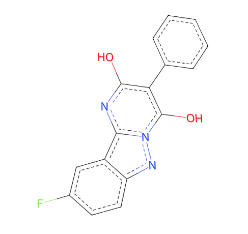 Oc1nc2c3cc(F)ccc3nn2c(O)c1-c1ccccc1